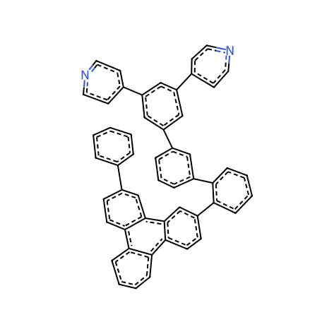 c1ccc(-c2ccc3c4ccccc4c4ccc(-c5ccccc5-c5cccc(-c6cc(-c7ccncc7)cc(-c7ccncc7)c6)c5)cc4c3c2)cc1